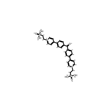 O=C(c1ccc(-c2cc[n+](CCP(=O)(O)O)cc2)cc1)c1ccc(-c2cc[n+](CCP(=O)(O)O)cc2)cc1